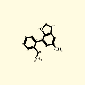 Cc1cc2c(c(-c3ccccc3CN)c1)O[CH]C2